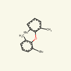 Cc1cccc(C(C)(C)C)c1Oc1c(C)cccc1C(C)(C)C